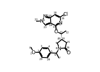 COc1ccc(C(C)N2C[C@H](C(C)Oc3nc(Cl)cc4nn(C)cc34)CC2=O)cc1